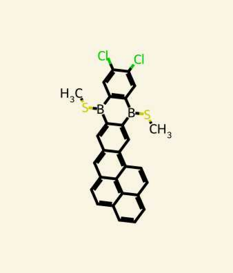 CSB1c2cc(Cl)c(Cl)cc2B(SC)c2cc3c(cc21)cc1ccc2cccc4ccc3c1c24